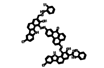 CCc1ccccc1NOCc1cc2ccc3c4cc(Cl)ccc4[nH]c3c2c(N=Nc2ccc3c(c2)C(=O)c2cccc4c(N=Nc5c(O)c(C(=O)Nc6ccccc6CC)cc6ccc7c8cc(Cl)ccc8[nH]c7c56)ccc-3c24)c1O